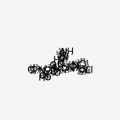 O=C(NS(=O)(=O)c1ccc(NCC2CCOCC2)c([N+](=O)[O-])c1)c1ccc(N2CCN([C@H]3CCCCc4c(Cl)cccc43)CC2)cc1Oc1cnc2[nH]ccc2c1